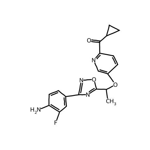 CC(Oc1ccc(C(=O)C2CC2)nc1)c1nc(-c2ccc(N)c(F)c2)no1